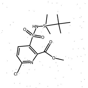 COC(=O)c1nc(Cl)ccc1S(=O)(=O)N[Si](C)(C)C(C)(C)C